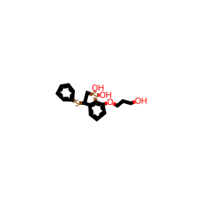 OCCCOc1cccc2c1S(O)(O)CC2Sc1ccccc1